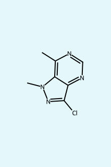 Cc1ncnc2c(Cl)nn(C)c12